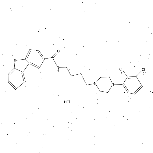 Cl.O=C(NCCCCN1CCN(c2cccc(Cl)c2Cl)CC1)c1ccc2sc3ccccc3c2c1